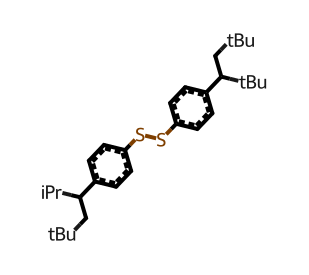 CC(C)C(CC(C)(C)C)c1ccc(SSc2ccc(C(CC(C)(C)C)C(C)(C)C)cc2)cc1